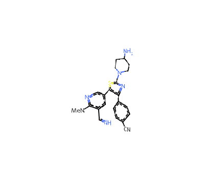 CNc1ncc(-c2sc(N3CCC(N)CC3)nc2-c2ccc(C#N)cc2)cc1C=N